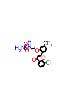 NS(=O)(=O)NCCOc1cc(C(F)(F)F)ccc1-c1cc(=O)c2cccc(Cl)c2o1